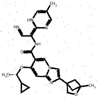 CC1=CN/C(=C(\C=N)NC(=O)c2cn3cc(C45COC(C)(C4)C5)nc3cc2O[C@@H](C)C2CC2)N=C1